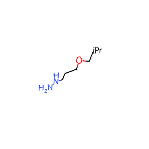 CC(C)COCCCNN